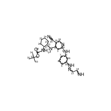 CN(c1cc(Nc2cccc(N/N=C\C=N)c2)ncc1C#N)[C@@H]1CCCC[C@@H]1NC(=O)OC(C)(C)C